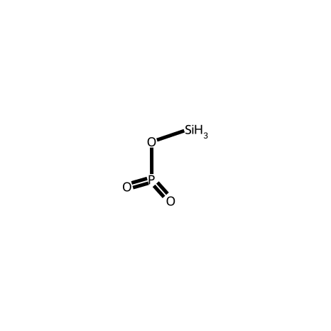 O=P(=O)O[SiH3]